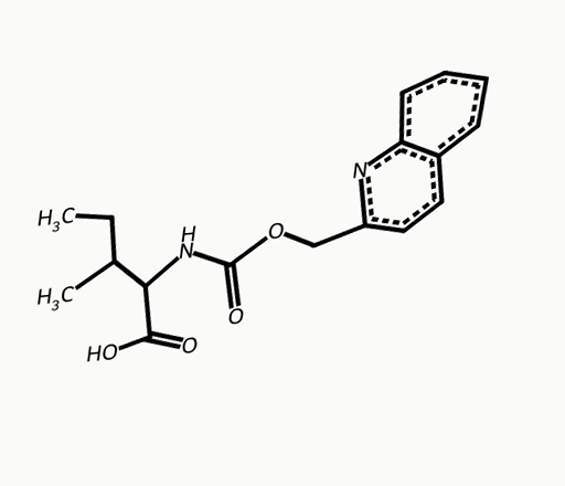 CCC(C)C(NC(=O)OCc1ccc2ccccc2n1)C(=O)O